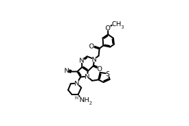 COc1cccc(C(=O)Cn2cnc3c(C#N)c(N4CCC[C@H](N)C4)n(Cc4ccsc4)c3c2=O)c1